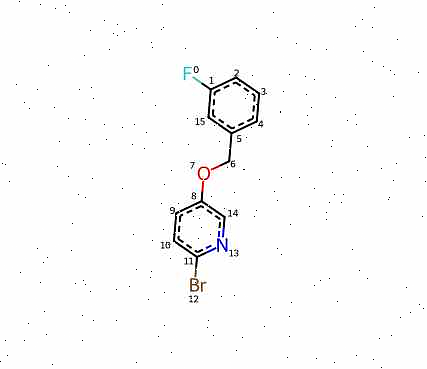 Fc1cccc(COc2ccc(Br)nc2)c1